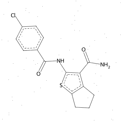 NC(=O)c1c(NC(=O)c2ccc(Cl)cc2)sc2c1CCC2